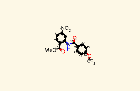 COC(=O)c1ccc([N+](=O)[O-])cc1NC(=O)c1ccc(OC(F)(F)F)cc1